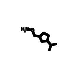 CC(C)C1CCC(CON)C1